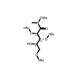 CCCCOC[C@@H](O)[C@@H](OCCCC)[C@@H](OCCCC)C(=O)N(C)OC